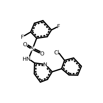 O=S(=O)(Nc1cccc(-c2ccccc2Cl)n1)c1cc(F)ccc1F